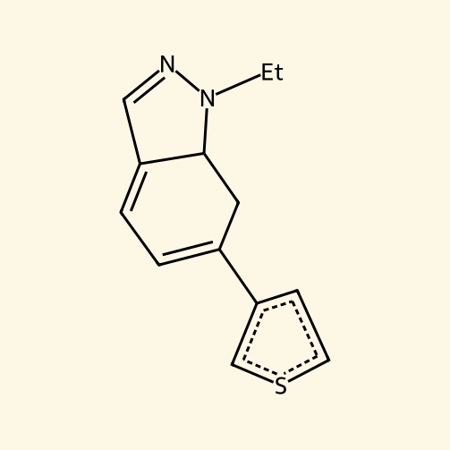 CCN1N=CC2=CC=C(c3ccsc3)CC21